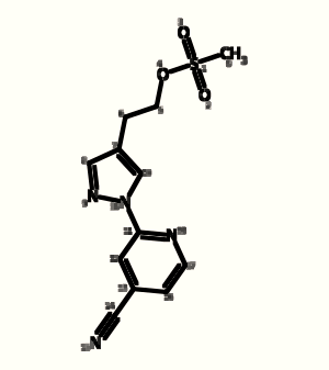 CS(=O)(=O)OCCc1cnn(-c2cc(C#N)ccn2)c1